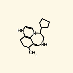 CC1CCC2=C3C1=CNCC(C1CCCC1)N3C=CN2